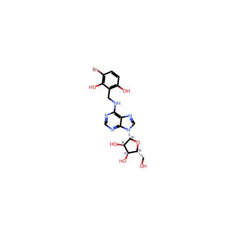 OC[C@H]1O[C@@H](n2cnc3c(NCc4c(O)ccc(Br)c4O)ncnc32)[C@H](O)[C@@H]1O